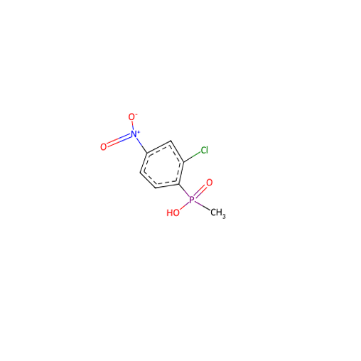 CP(=O)(O)c1ccc([N+](=O)[O-])cc1Cl